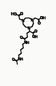 CC(=O)NCCCCCNC(=O)CCC(C(=O)O)N1CCN(CC(=O)O)CCN(CC(=O)O)CC1